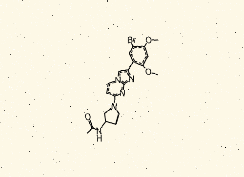 COc1cc(OC)c(-c2cn3ccc(N4CCC(NC(C)=O)C4)nc3n2)cc1Br